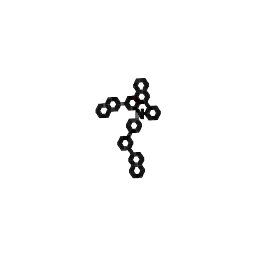 c1cc(-c2ccc(N(c3cccc(-c4ccc5ccccc5c4)c3)c3ccccc3-c3ccc4ccccc4c3)cc2)cc(-c2ccc3ccccc3c2)c1